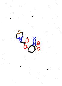 O=C(CN1CCSCC1)OC1CCC2CC1NS2(=O)=O